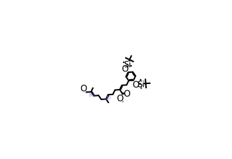 COC(=O)C(=CCc1cc(O[Si](C)(C)C(C)(C)C)ccc1O[Si](C)(C)C(C)(C)C)CC/C=C(\C)CC/C=C(\C)C=O